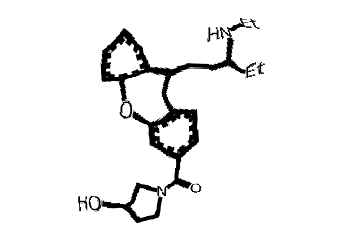 CCNC(CC)CCC1c2ccccc2Oc2cc(C(=O)N3CCC(O)C3)ccc21